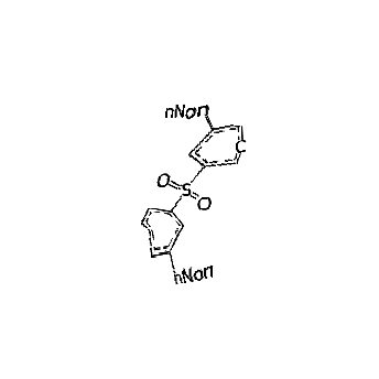 CCCCCCCCCc1cccc(S(=O)(=O)c2cccc(CCCCCCCCC)c2)c1